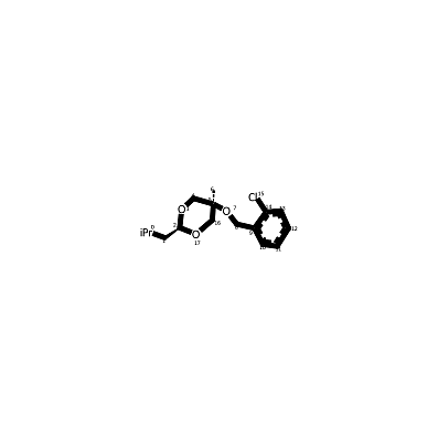 CC(C)C[C@H]1OC[C@@](C)(OCc2ccccc2Cl)CO1